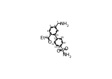 CCC(=O)c1ccc(CN)cc1-c1ccc(S(N)(=O)=O)cc1